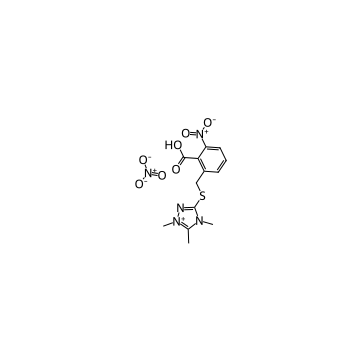 Cc1n(C)c(SCc2cccc([N+](=O)[O-])c2C(=O)O)n[n+]1C.O=[N+]([O-])[O-]